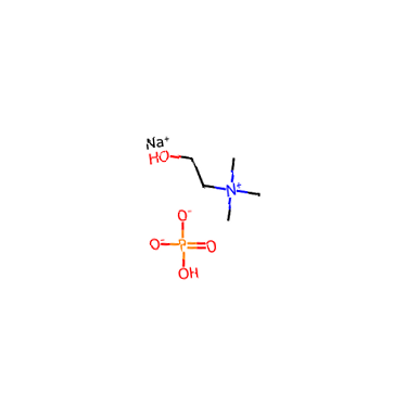 C[N+](C)(C)CCO.O=P([O-])([O-])O.[Na+]